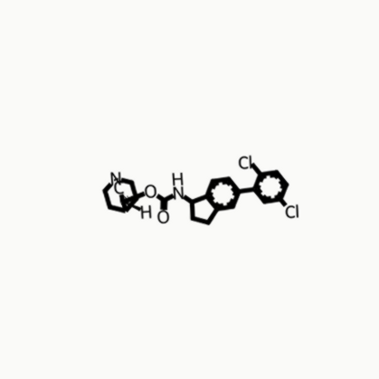 O=C(NC1CCc2cc(-c3cc(Cl)ccc3Cl)ccc21)O[C@H]1CN2CCC1CC2